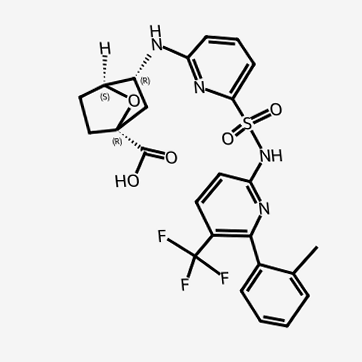 Cc1ccccc1-c1nc(NS(=O)(=O)c2cccc(N[C@@H]3C[C@@]4(C(=O)O)CC[C@@H]3O4)n2)ccc1C(F)(F)F